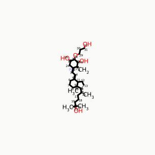 C=C1/C(=C\C=C2CCC[C@@]3(C)C2CC[C@@H]3[C@H](C)CCCC(C)(C)O)C[C@@H](O)[C@@H](OCCCO)[C@H]1O